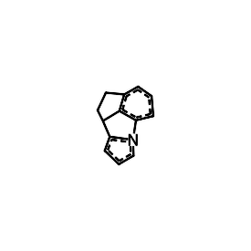 c1cc2c3c(c1)-n1cccc1C3CC2